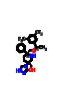 C[C@H](OC[C@@]1(c2ccccc2)CC[C@](CO)(N2C=NNC2)CN1)c1cc(C(F)(F)F)cc(C(F)(F)F)c1